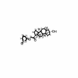 C[C@]12CC[C@@H](O)C[C@H]1CC[C@@H]1[C@@H]2CC[C@]2(C)[C@@H](C(=O)COc3ccc[n+]([O-])c3)CC[C@@H]12